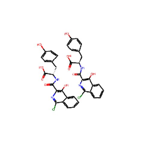 O=C(N[C@@H](Cc1ccc(O)cc1)C(=O)O)c1nc(Cl)c2ccccc2c1O.O=C(N[C@H](Cc1ccc(O)cc1)C(=O)O)c1nc(Cl)c2ccccc2c1O